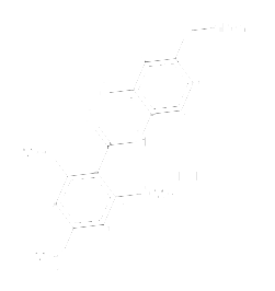 CCCCCOc1ccc(PC(=O)c2c(OC)cc(OC)cc2OC)c(C)c1.[LiH]